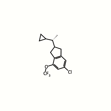 C[C@@H](C1CC1)C1Cc2cc(Cl)cc(OC(F)(F)F)c2C1